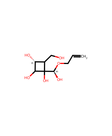 C=CCO[C@@H](O)C1(O)C(O)[C@H](O)C1CO